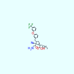 CCC1(C(=O)O)C2CC(Cc3cccc(Oc4cccc(C(F)(F)F)c4)c3)C(C#N)(C(=O)CN)C21